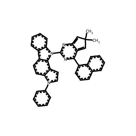 CC1(C)C=c2nc(-n3c4ccccc4c4ccc5c(ccn5-c5ccccc5)c43)nc(-c3cccc4ccccc34)c2=C1